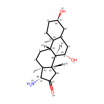 C[C@]12CC[C@H]3[C@@H]([C@@H](O)CC4C[C@H](O)CC[C@@]43C)[C@@H]1CC(=O)[C@@H]2N